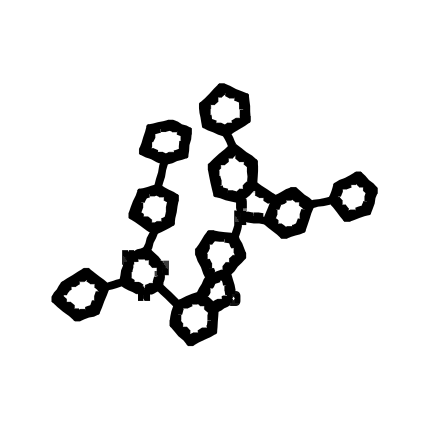 c1ccc(-c2ccc(-c3nc(-c4ccccc4)nc(-c4cccc5oc6cc(-n7c8ccc(-c9ccccc9)cc8c8cc(-c9ccccc9)ccc87)ccc6c45)n3)cc2)cc1